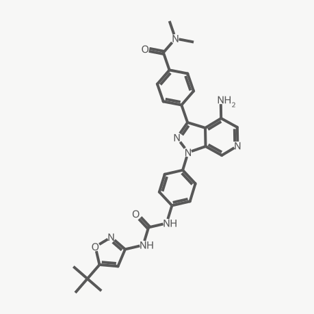 CN(C)C(=O)c1ccc(-c2nn(-c3ccc(NC(=O)Nc4cc(C(C)(C)C)on4)cc3)c3cncc(N)c23)cc1